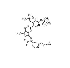 Cn1nc(O[C@H](c2ccnc(COC3CC3)c2)C(F)F)c2cc(-c3cnc(OC(C)(C)C)nc3OC(C)(C)C)nnc21